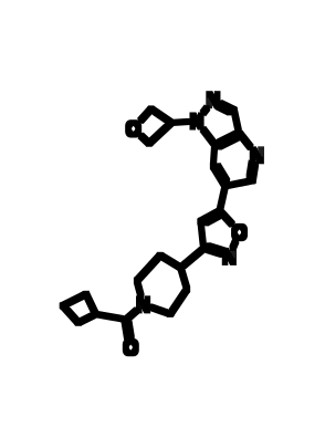 O=C(C1CCC1)N1CCC(c2cc(-c3cnc4cnn(C5COC5)c4c3)on2)CC1